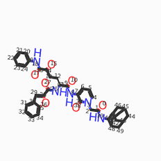 O=C(Cn1cccc(NC(=O)[C@H](CCC(=O)C(=O)Nc2ccccc2)NC(=O)c2cc3ccccc3o2)c1=O)NC1C2CC3CC(C2)CC1C3